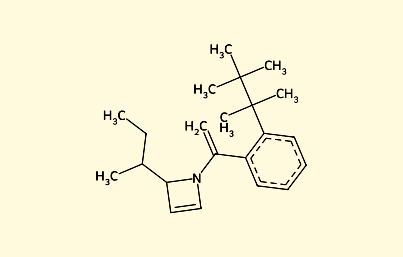 C=C(c1ccccc1C(C)(C)C(C)(C)C)N1C=CC1C(C)CC